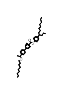 CCCCCCCCCOC(C)c1ccc(-c2ccc(C(=O)Oc3ccc(C(CCC)CCCCCCCC)cc3)cc2)cc1